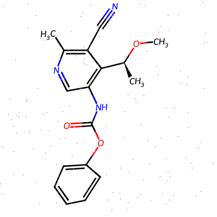 CO[C@@H](C)c1c(NC(=O)Oc2ccccc2)cnc(C)c1C#N